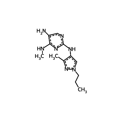 CCCn1cc(Nc2ncc(N)c(NC)n2)c(C)n1